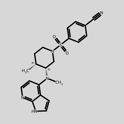 C[C@@H]1CCN(S(=O)(=O)c2ccc(C#N)cc2)C[C@@H]1N(C)c1ccnc2[nH]ccc12